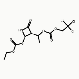 CCOC(=S)S[C@H]1NC(=O)[C@H]1C(C)OC(=O)OCC(Cl)(Cl)Cl